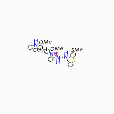 COc1cc(-c2ccc(Nc3ccccc3C(=O)NCCNC3CC4C=CC=CC4SC4C=CC(SC)=CC34)c(OC)c2)ccc1Nc1ccccc1C(=O)O